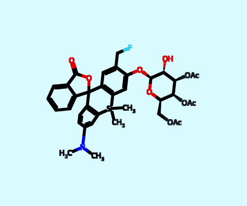 CC(=O)OC[C@H]1O[C@@H](Oc2cc3c(cc2CF)C2(OC(=O)c4ccccc42)c2ccc(N(C)C)cc2[Si]3(C)C)[C@H](O)[C@@H](OC(C)=O)[C@H]1OC(C)=O